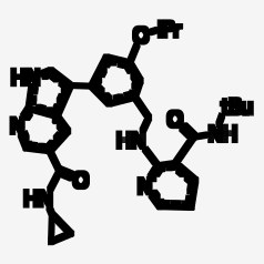 CC(C)Oc1cc(CNc2ncccc2C(=O)NC(C)(C)C)cc(-c2c[nH]c3ncc(C(=O)NC4CC4)cc23)c1